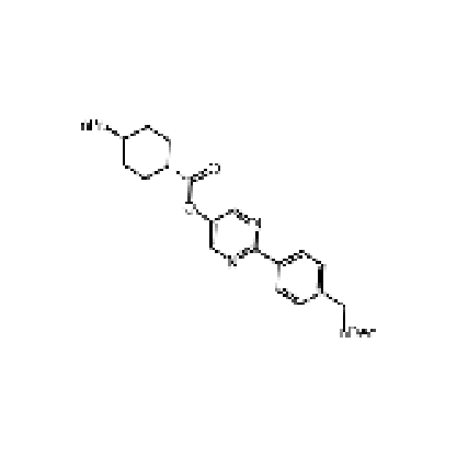 CCCCCCCCCCCc1ccc(-c2ncc(OC(=O)[C@H]3CC[C@H](CCC)CC3)cn2)cc1